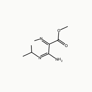 C/N=C(C(=O)OC)\C(N)=N/C(C)C